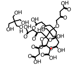 O=C(O)CC(=O)COC(CC(=O)CC(=O)O)(CC(=O)CC(=O)O)C(CO)(CO)C(CC(=O)CC(=O)O)(CC(=O)CC(=O)O)OCC(=O)CC(=O)O.OCC(CO)(CO)CO